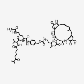 COc1cc2cc(c1Cl)N(C)C(=O)C[C@H](OC(=O)[C@H](C)N(C)C(=O)CCN(C)C(=O)OCc1ccc(NC(=O)[C@H](CCCNC(N)=O)NC(=O)[C@@H](NC(=O)CCCCC(=O)C(C)C)C(C)C)cc1)[C@]1(C)O[C@H]1[C@H](C)[C@@H]1CC(C/C=C/C=C(\C)C2)NC(=O)O1